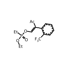 CCOP(=O)(CC)OC=C(C(C)=O)c1ccccc1C(F)(F)F